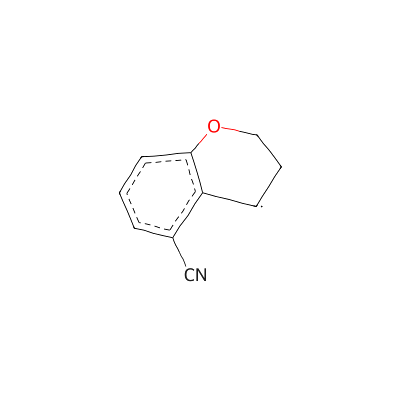 N#Cc1cccc2c1[CH]CCO2